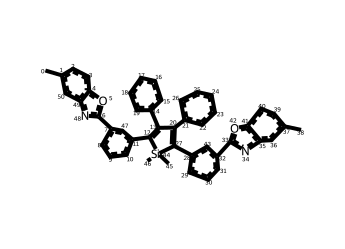 Cc1ccc2oc(-c3cccc(C4=C(c5ccccc5)C(c5ccccc5)=C(c5cccc(-c6nc7cc(C)ccc7o6)c5)[Si]4(C)C)c3)nc2c1